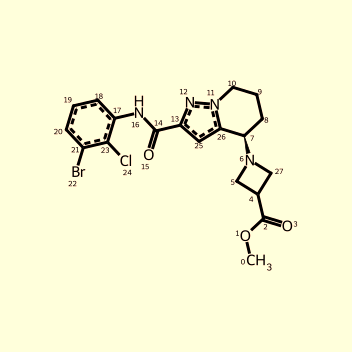 COC(=O)C1CN([C@@H]2CCCn3nc(C(=O)Nc4cccc(Br)c4Cl)cc32)C1